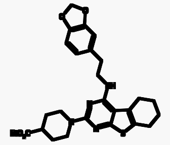 CCOC(=O)C1CCN(c2nc(NCCc3ccc4c(c3)OCO4)c3c4c(sc3n2)CCCC4)CC1